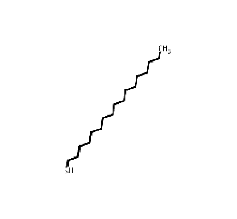 [CH2]CCCCCCCCCCCCCCCCS